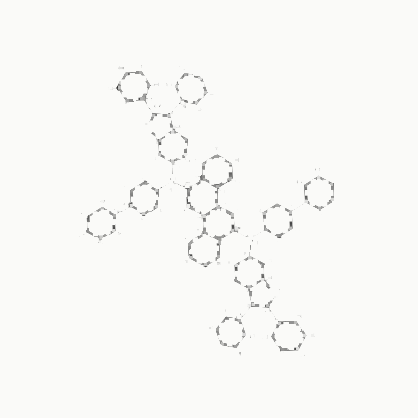 c1ccc(-c2ccc(N(c3ccc4c(-c5ccccc5)c(-c5ccccc5)oc4c3)c3cc4c5ccccc5c(N(c5ccc(-c6ccccc6)cc5)c5ccc6c(-c7ccccc7)c(-c7ccccc7)oc6c5)cc4c4ccccc34)cc2)cc1